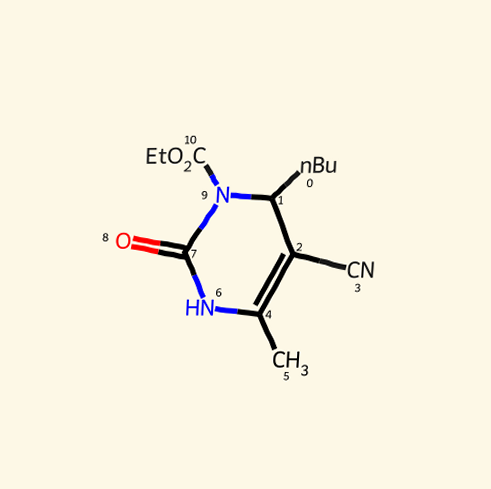 CCCCC1C(C#N)=C(C)NC(=O)N1C(=O)OCC